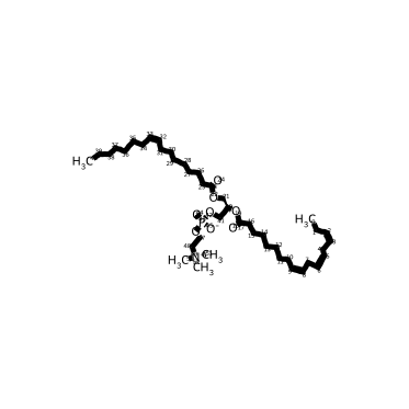 CC/C=C\C/C=C\C/C=C\CCCCCCCC(=O)O[C@H](COC(=O)CCCCCCC/C=C\CCCCCCC)COP(=O)([O-])OCC[N+](C)(C)C